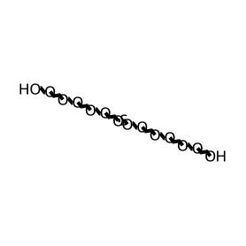 OCCOCCOCCOCCOCCOCCOSOCCOCCOCCOCCOCCOCCO